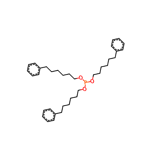 c1ccc(CCCCCCOP(OCCCCCCc2ccccc2)OCCCCCCc2ccccc2)cc1